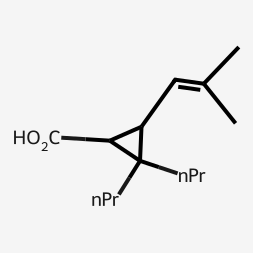 CCCC1(CCC)C(C=C(C)C)C1C(=O)O